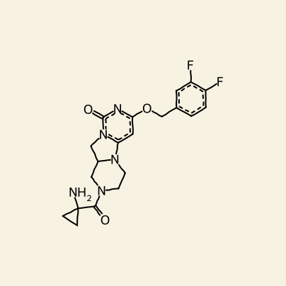 NC1(C(=O)N2CCN3c4cc(OCc5ccc(F)c(F)c5)nc(=O)n4CC3C2)CC1